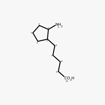 NC1CCCC1CCCCC(=O)O